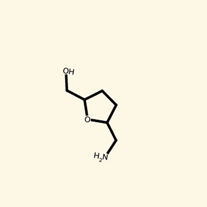 NCC1CCC(CO)O1